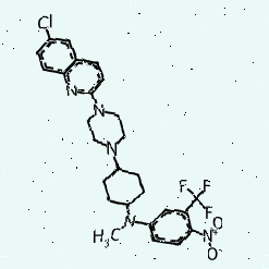 CN(c1ccc([N+](=O)[O-])c(C(F)(F)F)c1)C1CCC(N2CCN(c3ccc4cc(Cl)ccc4n3)CC2)CC1